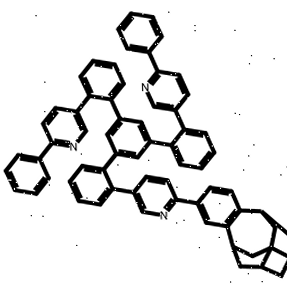 c1ccc(-c2ccc(-c3ccccc3-c3cc(-c4ccccc4-c4ccc(-c5ccccc5)nc4)cc(-c4ccccc4-c4ccc(-c5ccc6c(c5)C5CC7CC8CC6CC87C5)nc4)c3)cn2)cc1